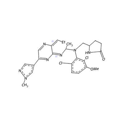 CC/C=C1/N=CC(c2cnn(C)c2)=N/C1=N/C(C)N(CC1CCC(=O)N1)c1c(Cl)ccc(OC)c1Cl